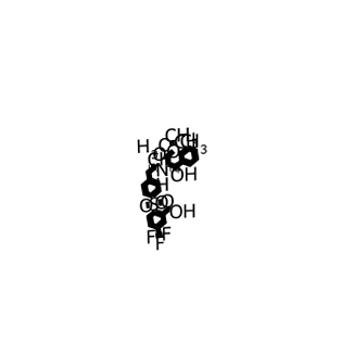 C[C@H](Cc1ccc(S(=O)(=O)c2ccc(C(F)(F)F)cc2C(=O)O)cc1)NC(C(=O)OC(C)(C)C)[C@H](O)c1cccc(Cl)c1